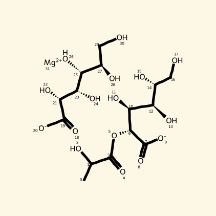 CC(O)C(=O)O[C@@H](C(=O)[O-])[C@@H](O)[C@H](O)[C@H](O)CO.O=C([O-])[C@H](O)[C@@H](O)[C@H](O)[C@H](O)CO.[Mg+2]